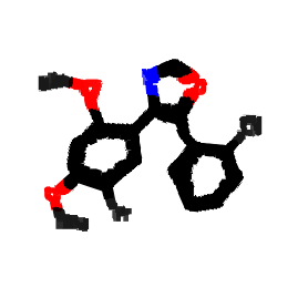 CCCCOc1cc(OCCCC)c(C(C)C)cc1-c1ncoc1-c1ccccc1C#N